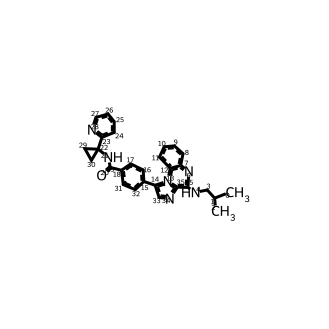 CC(C)CNc1nc2ccccc2n2c(-c3ccc(C(=O)NC4(c5ccccn5)CC4)cc3)cnc12